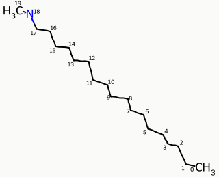 CCCCCCCCCCCCCCCCCC[N]C